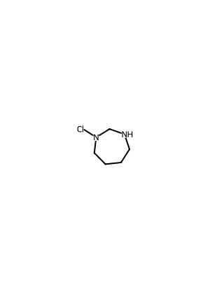 ClN1CCCCNC1